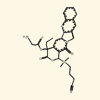 CCC1(OC(=O)CN)C(=O)OC([Si](C)(C)CCCC#N)c2c1cc1n(c2=O)Cc2cc3ccccc3nc2-1